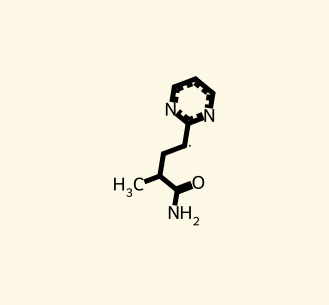 CC(C[CH]c1ncccn1)C(N)=O